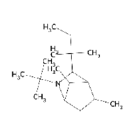 CCC(C)(C)C1C2C(C)CC(C2C)N1C(C)(C)C